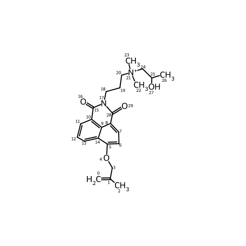 C=C(C)COc1ccc2c3c(cccc13)C(=O)N(CCC[N+](C)(C)CC(C)O)C2=O